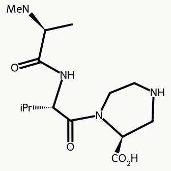 CN[C@@H](C)C(=O)N[C@H](C(=O)N1CCNC[C@H]1C(=O)O)C(C)C